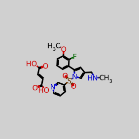 CNCc1cc(-c2cccc(OC)c2F)n(S(=O)(=O)c2cccnc2)c1.O=C(O)C=CC(=O)O